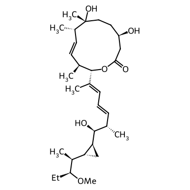 CC[C@H](OC)[C@@H](C)[C@H]1C[C@@H]1[C@@H](O)[C@@H](C)/C=C/C=C(\C)[C@H]1OC(=O)C[C@H](O)CC[C@@](C)(O)[C@@H](C)/C=C/[C@@H]1C